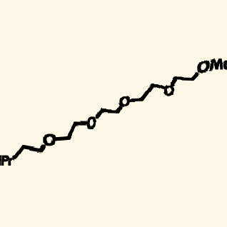 COCCOCCOCCOCCOCCC(C)C